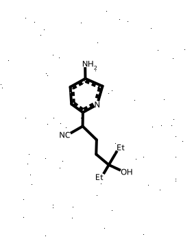 CCC(O)(CC)CCC(C#N)c1ccc(N)cn1